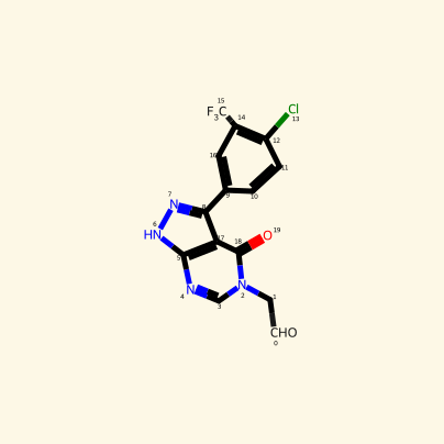 O=CCn1cnc2[nH]nc(-c3ccc(Cl)c(C(F)(F)F)c3)c2c1=O